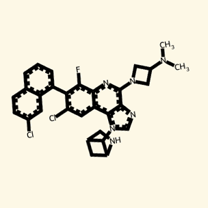 CN(C)C1CN(c2nc3c(F)c(-c4cccc5ccc(Cl)cc45)c(Cl)cc3c3c2ncn3C2C3CNC2C3)C1